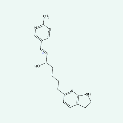 Cc1ncc(/C=C/C(O)CCCCc2ccc3c(n2)NCC3)cn1